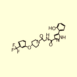 O=C(NCC(=O)N1CCC(Oc2cccc(C(F)(F)F)c2)CC1)c1cc(-c2ccccc2O)[nH]n1